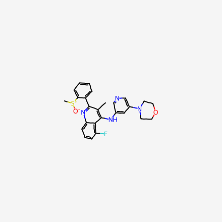 Cc1c(-c2ccccc2[S+](C)[O-])nc2cccc(F)c2c1Nc1cncc(N2CCOCC2)c1